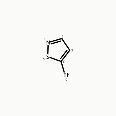 CCc1c[c]ns1